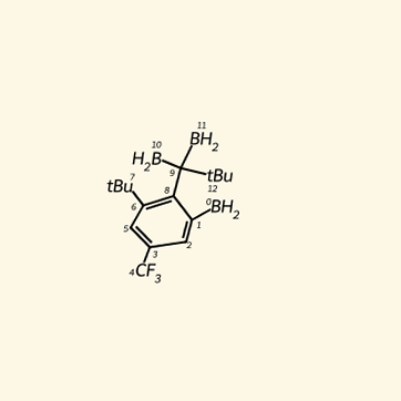 Bc1cc(C(F)(F)F)cc(C(C)(C)C)c1C(B)(B)C(C)(C)C